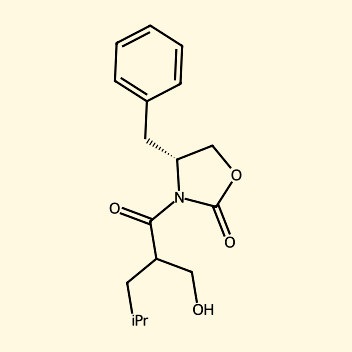 CC(C)CC(CO)C(=O)N1C(=O)OC[C@H]1Cc1ccccc1